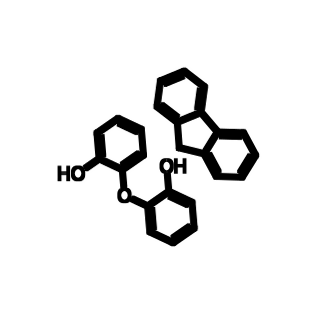 Oc1ccccc1Oc1ccccc1O.c1ccc2c(c1)Cc1ccccc1-2